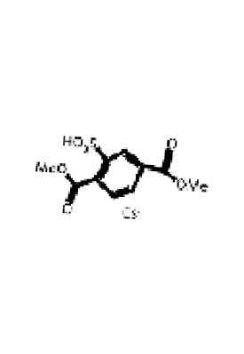 COC(=O)c1ccc(C(=O)OC)c(S(=O)(=O)O)c1.[Cs]